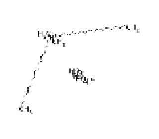 CCCCCCCCCCCCCCCCCC[N+](C)(C)CCCCCCCCCCCCCCCCCC.[Al+3].[OH-].[OH-].[OH-].[OH-]